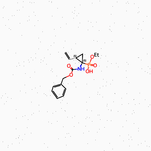 C=C[C@@H]1C[C@]1(NC(=O)OCc1ccccc1)P(=O)(O)OCC